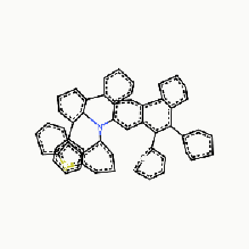 c1ccc(-c2cccc(-c3ccccc3)c2N(c2ccc3c(c2)c(-c2ccccc2)c(-c2ccccc2)c2ccccc23)c2cccc3sc4ccccc4c23)cc1